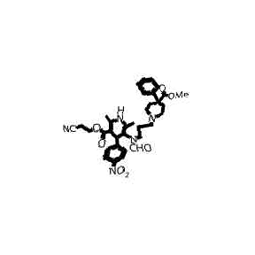 COC(=O)C1(c2ccccc2)CCN(CCCN(C=O)C2=C(C)NC(C)=C(C(=O)OCCC#N)C2c2ccc([N+](=O)[O-])cc2)CC1